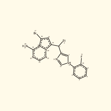 CCC(C1=C[SH](c2ccccc2F)C=N1)c1cc(Br)c2c(N)ncnn12